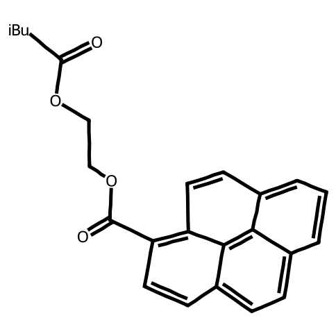 CCC(C)C(=O)OCCOC(=O)c1ccc2ccc3cccc4ccc1c2c34